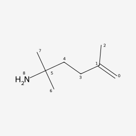 C=C(C)CCC(C)(C)N